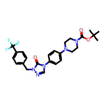 CC(C)(C)OC(=O)N1CCN(c2ccc(-n3cnn(Cc4ccc(C(F)(F)F)cc4)c3=O)cc2)CC1